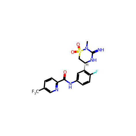 CN1C(=N)N[C@H](c2cc(NC(=O)c3ccc(C(F)(F)F)cn3)ccc2F)CS1(=O)=O